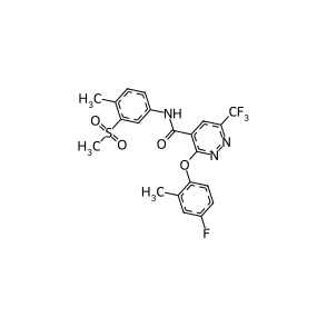 Cc1cc(F)ccc1Oc1nnc(C(F)(F)F)cc1C(=O)Nc1ccc(C)c(S(C)(=O)=O)c1